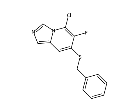 Fc1c(SCc2ccccc2)cc2cncn2c1Cl